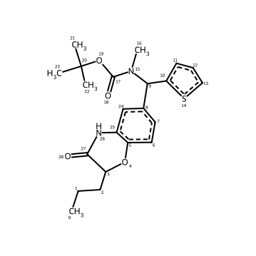 CCCC1Oc2ccc(C(c3cccs3)N(C)C(=O)OC(C)(C)C)cc2NC1=O